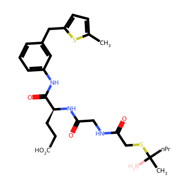 BC(C)(CCC)SCC(=O)NCC(=O)N[C@@H](CCC(=O)O)C(=O)Nc1cccc(Cc2ccc(C)s2)c1